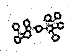 c1ccc(-c2nc(-c3ccc(-n4c5ccccc5c5c4ccc4c6ccccc6n(-c6ccccc6)c45)cc3)nc3c2-c2ccccc2[Si]3(c2ccccc2)c2ccccc2)cc1